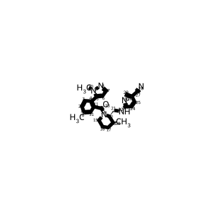 Cc1ccc(-c2ccnn2C)c(C(=O)N2CCC[C@@H](C)[C@H]2CNc2ccc(C#N)cn2)c1